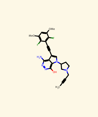 CC#CCN1CCC(n2cc(C#Cc3c(F)c(OC)cc(OC)c3F)c3c(N)nnc(O)c32)C1